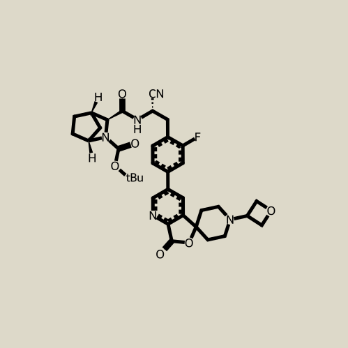 CC(C)(C)OC(=O)N1[C@@H]2CC[C@@H](C2)[C@H]1C(=O)N[C@H](C#N)Cc1ccc(-c2cnc3c(c2)C2(CCN(C4COC4)CC2)OC3=O)cc1F